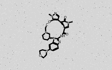 Cn1ncc2c1OCCN1CCCC(C)(C1)n1c(nc3ccc(N4CCOCC4)cc31)NC(=O)c1cc-2c(=O)n(C)c1